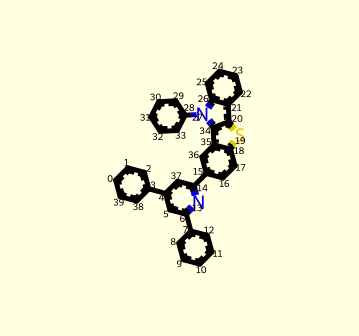 c1ccc(-c2cc(-c3ccccc3)nc(-c3ccc4sc5c6ccccc6n(-c6ccccc6)c5c4c3)c2)cc1